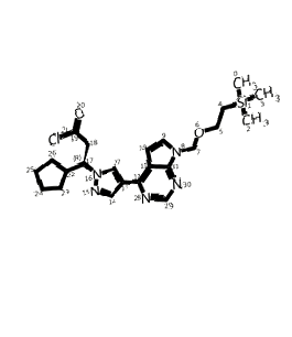 C[Si](C)(C)CCOCn1ccc2c(-c3cnn([C@H](CC(=O)Cl)C4CCCC4)c3)ncnc21